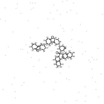 O=P(c1cncc(-c2ccc3oc4ccc(-c5ccc6oc7ccccc7c6c5)cc4c3c2)c1)(c1ccc2ccccc2c1)c1cc2ccccc2cn1